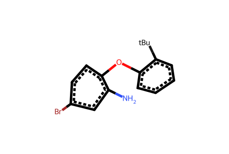 CC(C)(C)c1ccccc1Oc1ccc(Br)cc1N